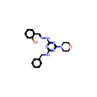 Oc1ccccc1/C=N/Nc1nc(NCc2ccccc2)nc(N2CCOCC2)n1